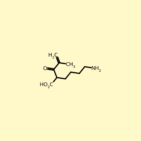 C=C(C)C(=O)C(CCCCN)C(=O)O